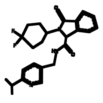 CC(C)c1ccc(CNC(=O)C2c3ccccc3C(=O)N2C2CCC(F)(F)CC2)cn1